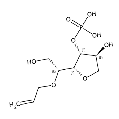 C=CCO[C@H](CO)[C@H]1OC[C@H](O)[C@H]1OP(=O)(O)O